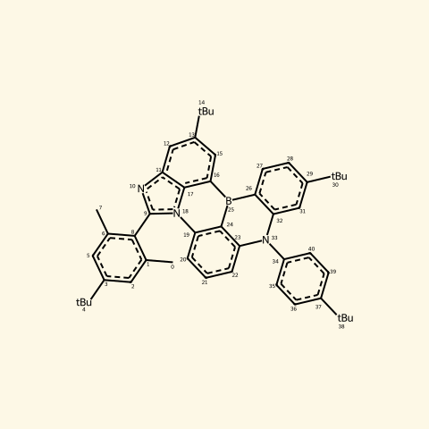 Cc1cc(C(C)(C)C)cc(C)c1-c1nc2cc(C(C)(C)C)cc3c2n1-c1cccc2c1B3c1ccc(C(C)(C)C)cc1N2c1ccc(C(C)(C)C)cc1